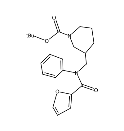 CC(C)(C)OC(=O)N1CCCC(CN(C(=O)c2ccco2)c2ccccc2)C1